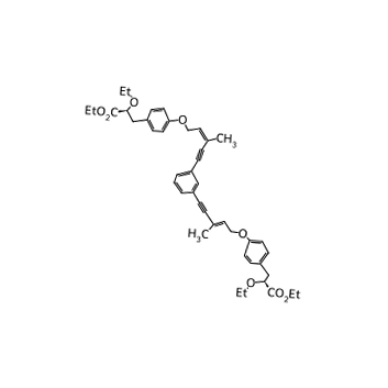 CCOC(=O)[C@H](Cc1ccc(OCC=C(C)C#Cc2cccc(C#CC(C)=CCOc3ccc(C[C@H](OCC)C(=O)OCC)cc3)c2)cc1)OCC